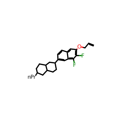 C=CCOc1cc2ccc(C3CCC4CC(CCC)CCC4C3)cc2c(F)c1F